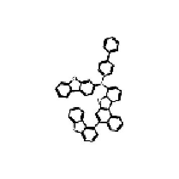 C1=CC2c3c(cc(-c4cccc5sc6ccccc6c45)c4ccccc34)OC2C(N(c2ccc(-c3ccccc3)cc2)c2ccc3c(c2)oc2ccccc23)=C1